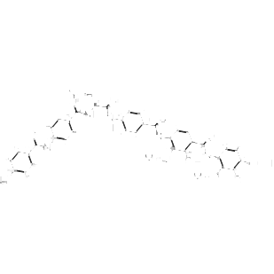 COc1c(NC(=O)c2ccc(NC(=O)c3ccc(NC(=O)[C@H](CC#N)NC(=O)c4ccc(NC(=O)c5ccc(C#N)cc5)cc4)cc3)c(OC)c2O)ccc(C(=O)O)c1O